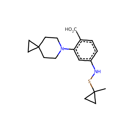 CC1(SNc2ccc(C(=O)O)c(N3CCC4(CC3)CC4)c2)CC1